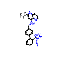 FC(F)(F)c1cc(NCc2ccc(-c3ccccc3-c3nnn[nH]3)cc2)c2ncccc2n1